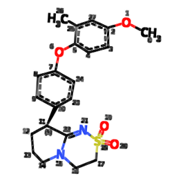 COc1ccc(Oc2ccc([C@@H]3CCCN4CCS(=O)(=O)N=C34)cc2)c(C)c1